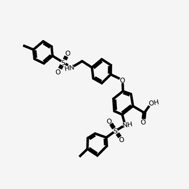 Cc1ccc(S(=O)(=O)NCc2ccc(Oc3ccc(NS(=O)(=O)c4ccc(C)cc4)c(C(=O)O)c3)cc2)cc1